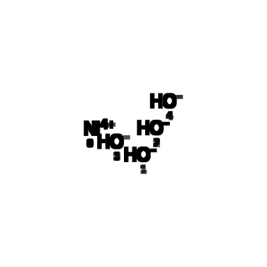 [Ni+4].[OH-].[OH-].[OH-].[OH-]